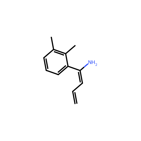 C=C/C=C(/N)c1cccc(C)c1C